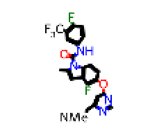 CNCc1cc(Oc2ccc3c(cc(C)n3C(=O)Nc3ccc(F)c(C(F)(F)F)c3)c2F)ncn1